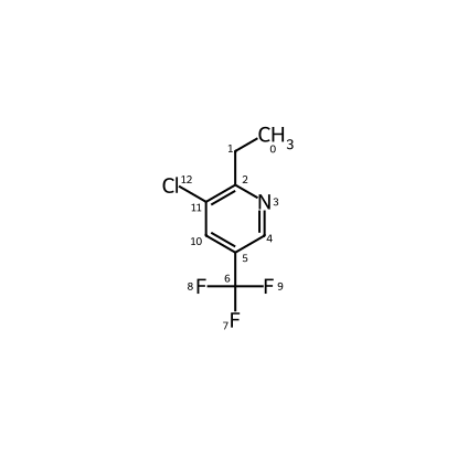 CCc1ncc(C(F)(F)F)cc1Cl